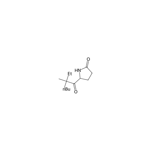 CCCCC(C)(CC)C(=O)C1CCC(=O)N1